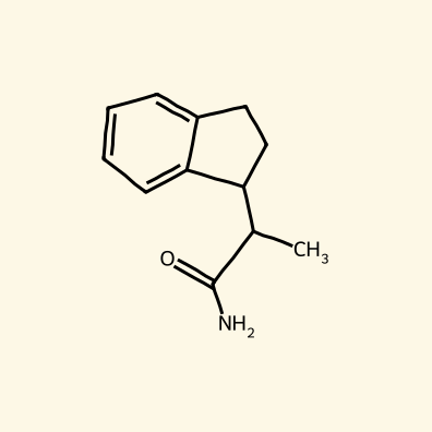 CC(C(N)=O)C1CCc2ccccc21